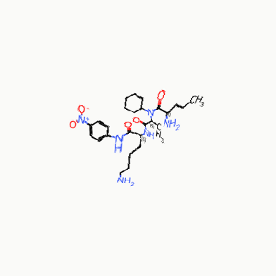 CCC[C@@H](N)C(=O)N(C1CCCCC1)[C@@H](C)C(=O)N[C@@H](CCCCN)C(=O)Nc1ccc([N+](=O)[O-])cc1